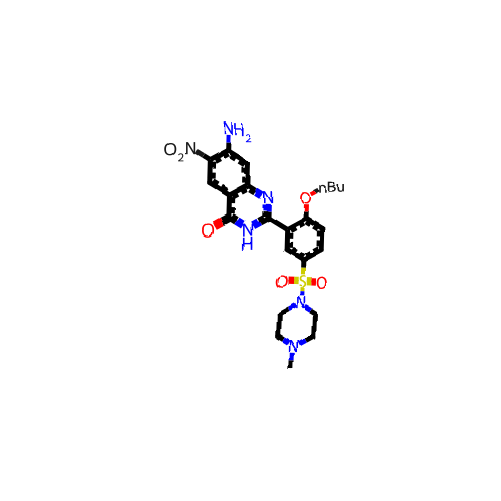 CCCCOc1ccc(S(=O)(=O)N2CCN(C)CC2)cc1-c1nc2cc(N)c([N+](=O)[O-])cc2c(=O)[nH]1